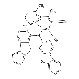 Cc1c(C#N)c(C#N)c(N(c2ccc3c(c2)oc2ccccc23)c2cccc3c2oc2ccccc23)c2c1C1(C)CCC2(C)C1